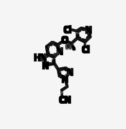 C[C@@H](Oc1ccc2[nH]nc(-c3cnn(CCC#N)c3)c2n1)c1c(Cl)cncc1Cl